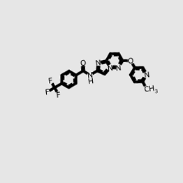 Cc1ccc(Oc2ccc3nc(NC(=O)c4ccc(C(F)(F)F)cc4)cn3n2)cn1